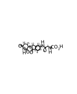 O=C(O)NCC(=O)Nc1ccc2c(c1)CN(C1CCC(=O)NC1=O)C2=O